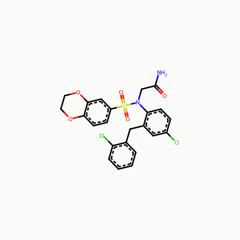 NC(=O)CN(c1ccc(Cl)cc1Cc1ccccc1Cl)S(=O)(=O)c1ccc2c(c1)OCCO2